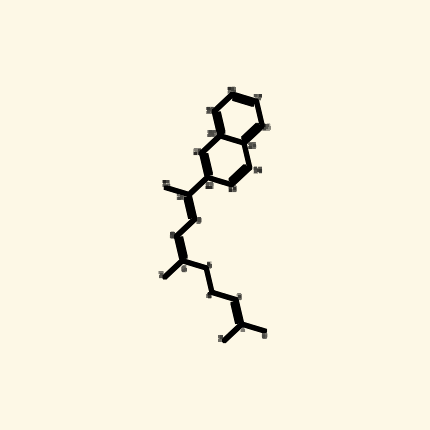 CC(C)=CCCC(C)=CC=C(C)c1ccc2ccccc2c1